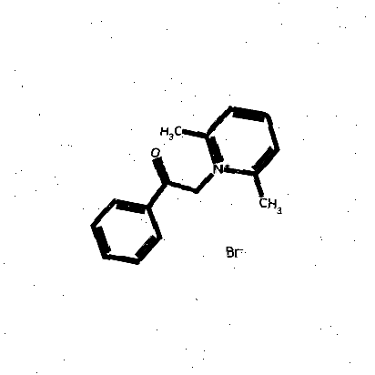 Cc1cccc(C)[n+]1CC(=O)c1ccccc1.[Br-]